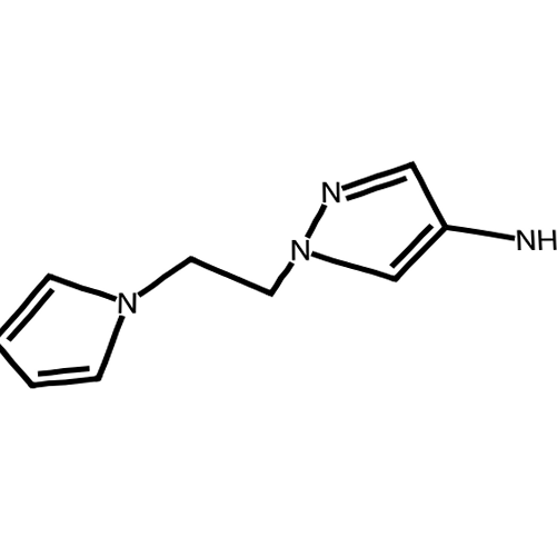 Nc1cnn(CCn2cccc2)c1